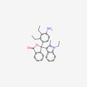 CCc1c(N)ccc(C2(c3c(C)n(CC)c4ccccc34)OC(=O)c3ccccc32)c1CC